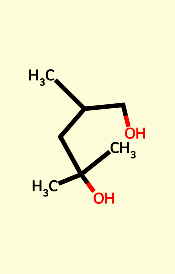 CC(CO)CC(C)(C)O